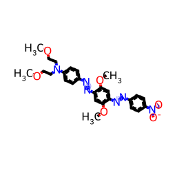 COCCN(CCOC)c1ccc(/N=N/c2cc(OC)c(/N=N/c3ccc([N+](=O)[O-])cc3)cc2OC)cc1